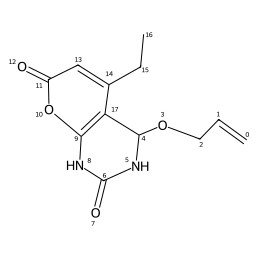 C=CCOC1NC(=O)Nc2oc(=O)cc(CC)c21